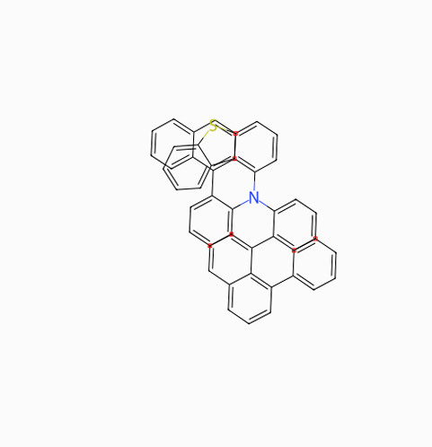 c1ccc(-c2cccc3cccc(-c4ccccc4N(c4ccccc4-c4cccc5ccccc45)c4cccc5sc6ccccc6c45)c23)cc1